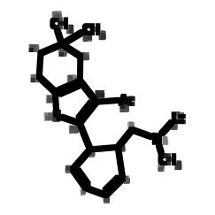 CCN(C)CC1C=CC=CC1c1sc2c(c1C(C)=O)CC(C)(C)CC2